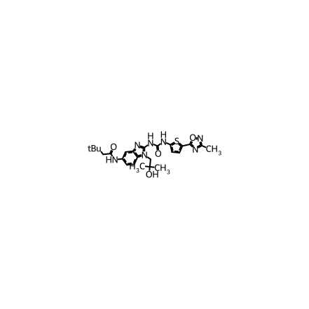 Cc1noc(-c2ccc(NC(=O)Nc3nc4cc(NC(=O)CC(C)(C)C)ccc4n3CC(C)(C)O)s2)n1